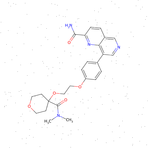 CN(C)C(=O)C1(OCCOc2ccc(-c3cncc4ccc(C(N)=O)nc34)cc2)CCOCC1